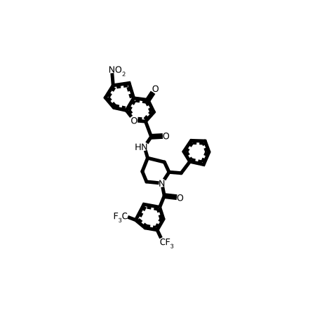 O=C(NC1CCN(C(=O)c2cc(C(F)(F)F)cc(C(F)(F)F)c2)C(Cc2ccccc2)C1)c1cc(=O)c2cc([N+](=O)[O-])ccc2o1